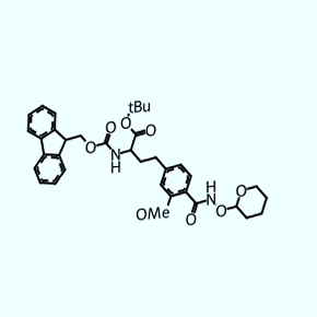 COc1cc(CCC(NC(=O)OCC2c3ccccc3-c3ccccc32)C(=O)OC(C)(C)C)ccc1C(=O)NOC1CCCCO1